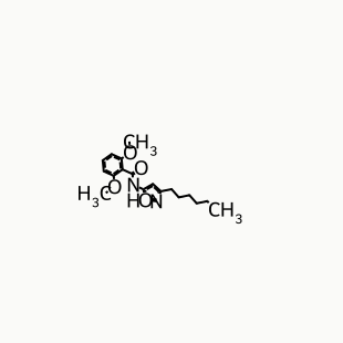 CCCCCCc1cc(NC(=O)c2c(OC)cccc2OC)on1